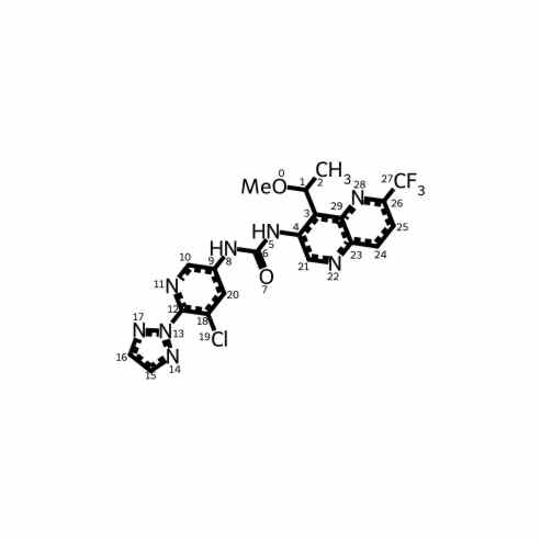 COC(C)c1c(NC(=O)Nc2cnc(-n3nccn3)c(Cl)c2)cnc2ccc(C(F)(F)F)nc12